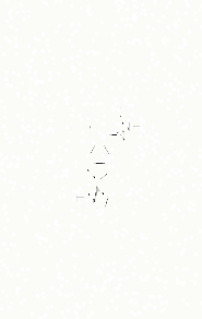 CC1CC(=O)NN=C1c1ccc2[nH]c(N3C=CSN3)cc2c1